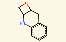 c1ccc2c(c1)CC1OCC1N2